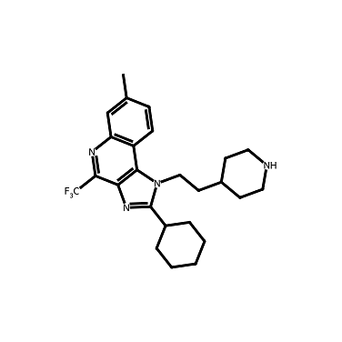 Cc1ccc2c(c1)nc(C(F)(F)F)c1nc(C3CCCCC3)n(CCC3CCNCC3)c12